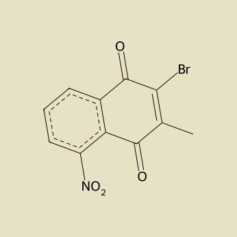 CC1=C(Br)C(=O)c2cccc([N+](=O)[O-])c2C1=O